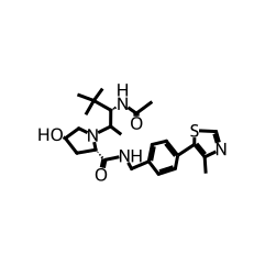 CC(=O)N[C@H](C(C)N1C[C@H](O)C[C@H]1C(=O)NCc1ccc(-c2scnc2C)cc1)C(C)(C)C